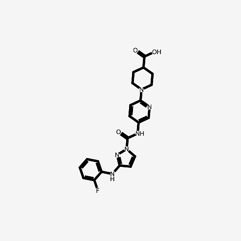 O=C(O)C1CCN(c2ccc(NC(=O)n3ccc(Nc4ccccc4F)n3)cn2)CC1